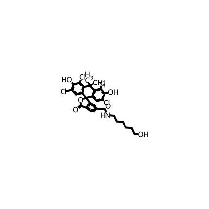 CC1(C)c2c(cc(Cl)c(O)c2Cl)C2(OC(=O)c3ccc(C(=O)NCCCCCCO)cc32)c2cc(Cl)c(O)c(Cl)c21